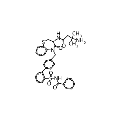 CC(C)(N)CC(=O)N[C@@H]1CSc2ccccc2N(Cc2ccc(-c3ccccc3S(=O)(=O)NC(=O)c3ccccc3)cc2)C1=O